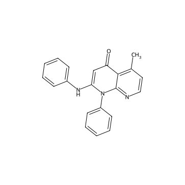 Cc1ccnc2c1c(=O)cc(Nc1ccccc1)n2-c1ccccc1